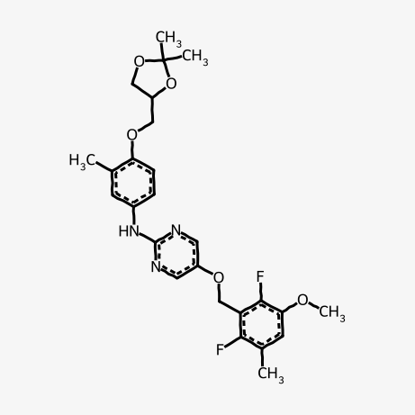 COc1cc(C)c(F)c(COc2cnc(Nc3ccc(OCC4COC(C)(C)O4)c(C)c3)nc2)c1F